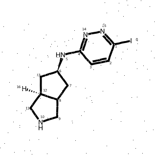 Ic1ccc(N[C@H]2CC3CNC[C@H]3C2)nn1